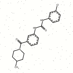 CC1CCN(C(=O)c2cccc(NC(=O)Nc3cccc(Cl)c3)c2)CC1